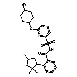 CC1CN(c2ncccc2C(=O)NS(=O)(=O)c2cccc(OC3CCC(C(C)C)CC3)n2)C(C)(C)C1